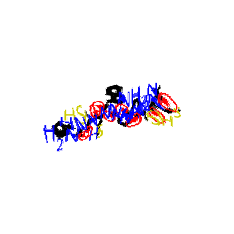 CSCC[C@H](NC(=O)[C@H](C)N)C(=O)N[C@@H](CS)C(=O)N1CCC[C@H]1C(=O)N1CCC[C@H]1C(=O)N[C@@H](Cc1c[nH]c2ccccc12)C(=O)N[C@@H](CCSC)C(=O)N[C@@H](CS)C(=O)N[C@@H](Cc1ccccc1)C(N)=O